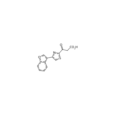 O=C(O)CC(=O)c1nc(-c2coc3ccccc23)cs1